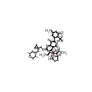 C/C=C/C(=O)N1[C@@H]2CC[C@H]1[C@H]1[C@H](C)Oc3nc(-c4cc(N)cc(Cl)c4C(F)(F)F)c(F)c4nc(OCC5(CN6CCOCC6)CC5)nc(c34)N1C2